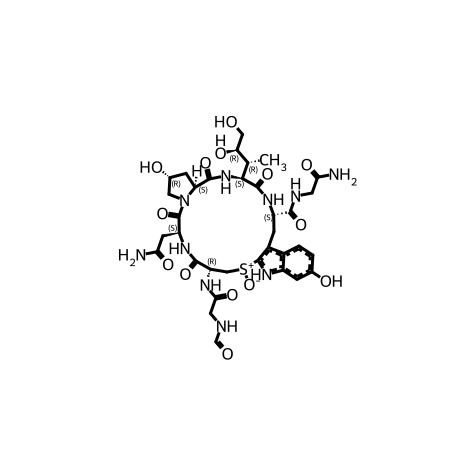 C[C@H]([C@@H]1NC(=O)[C@@H]2C[C@@H](O)CN2C(=O)[C@H](CC(N)=O)NC(=O)[C@@H](NC(=O)CNC=O)C[S+]([O-])c2[nH]c3cc(O)ccc3c2C[C@@H](C(=O)NCC(N)=O)NC1=O)[C@@H](O)CO